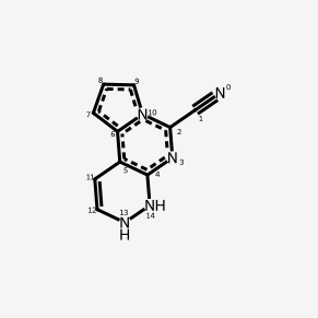 N#Cc1nc2c(c3cccn13)C=CNN2